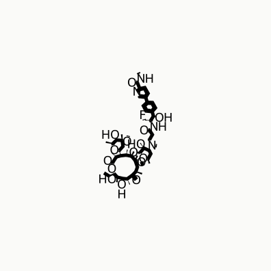 CC[C@H]1OC(=O)[C@H](C)C([C@H]2C[C@@](C)(OC)[C@@H](O)[C@H](C)O2)[C@H](C)[C@@H](O[C@@H]2O[C@H](C)C[C@H](N(C)CCC(=O)N[C@H](CF)[C@H](O)c3ccc(-c4ccc(C(=O)NC)nc4)cc3)[C@H]2O)[C@](C)(OC)C[C@@H](C)C(=O)[C@H](C)[C@@H](O)[C@]1(C)O